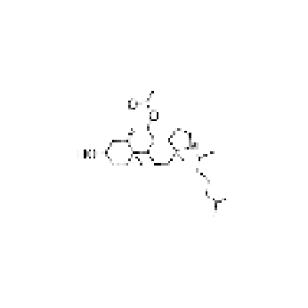 CC(=O)OC1C=C2CC(O)CCC2(C)C2CCC3(C)C(CC[C@@H]3C(C)CCCC(C)C)C12